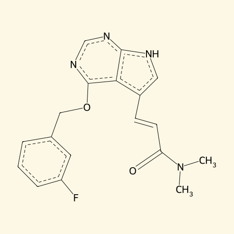 CN(C)C(=O)/C=C/c1c[nH]c2ncnc(OCc3cccc(F)c3)c12